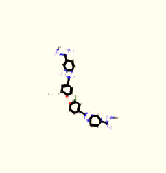 COc1cc(-c2nc3ccc(C(=N)NC(C)C)cc3[nH]2)ccc1Oc1ccc(-c2nc3ccc(C(=N)NC(C)C)cc3[nH]2)cc1F